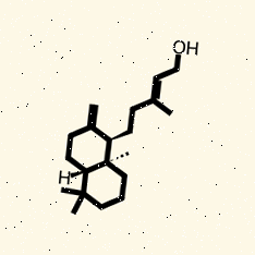 C=C1CC[C@H]2C(C)(C)CCC[C@]2(C)[C@@H]1CC/C(C)=C/CO